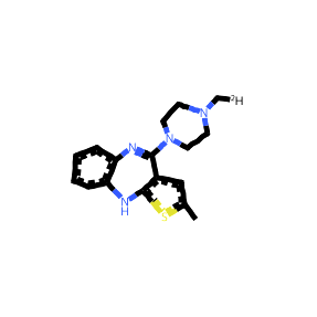 [2H]CN1CCN(C2=Nc3ccccc3Nc3sc(C)cc32)CC1